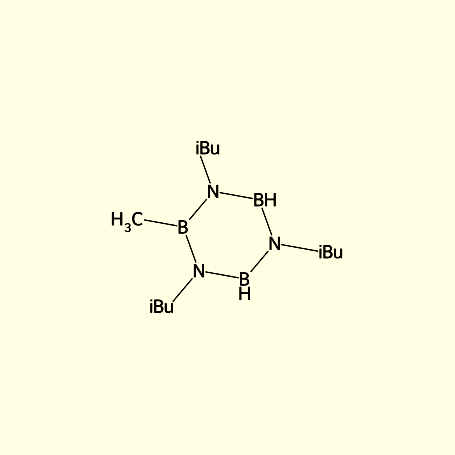 CCC(C)N1BN(C(C)CC)B(C)N(C(C)CC)B1